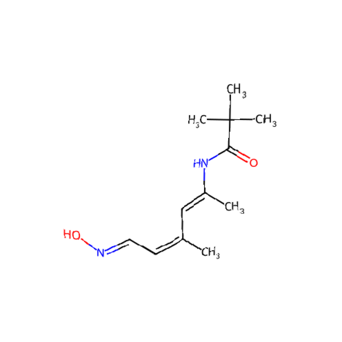 CC(=C/C=N/O)/C=C(\C)NC(=O)C(C)(C)C